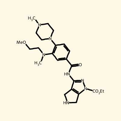 CCOC(=O)n1nc(NC(=O)c2ccc(N3CCN(C)CC3)c(N(C)CCOC)c2)c2c1CNC2